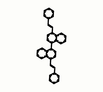 C(=C\c1ccc(-c2ccc(/C=C/c3ccccc3)c3ccccc23)c2ccccc12)/c1ccccc1